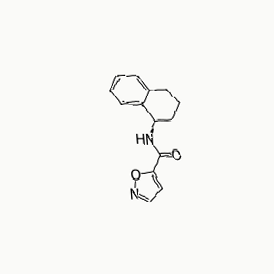 O=C(N[C@@H]1CCCc2ccccc21)c1ccno1